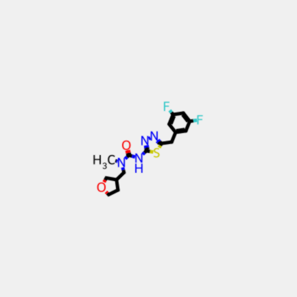 CN(CC1CCOC1)C(=O)Nc1nnc(Cc2cc(F)cc(F)c2)s1